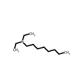 C[CH]N(CC)CCCCCCCC